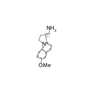 COc1ccc2c(ccc3[n+]2CC/C3=C\N)c1